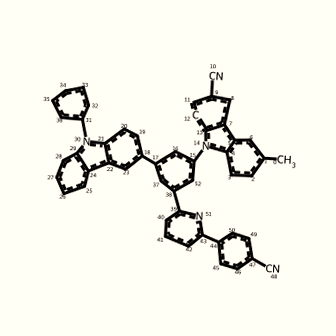 Cc1ccc2c(c1)c1cc(C#N)ccc1n2-c1cc(-c2ccc3c(c2)c2ccccc2n3-c2ccccc2)cc(-c2cccc(-c3ccc(C#N)cc3)n2)c1